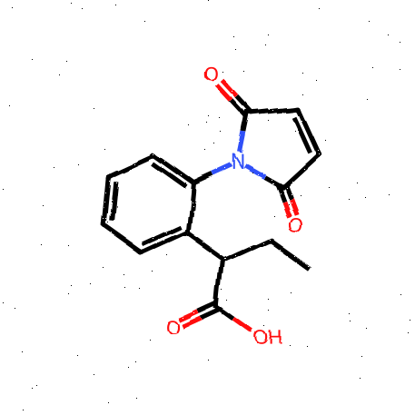 CCC(C(=O)O)c1ccccc1N1C(=O)C=CC1=O